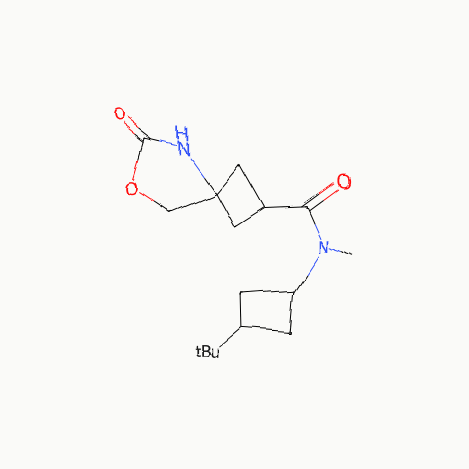 CN(C(=O)C1CC2(COC(=O)N2)C1)C1CC(C(C)(C)C)C1